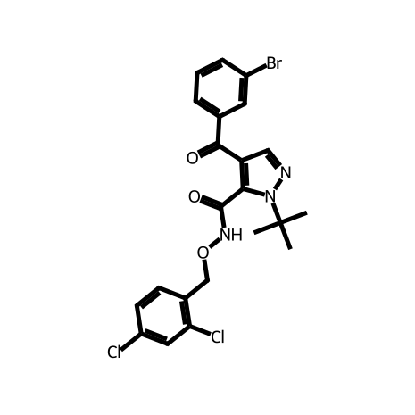 CC(C)(C)n1ncc(C(=O)c2cccc(Br)c2)c1C(=O)NOCc1ccc(Cl)cc1Cl